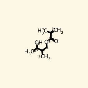 C=C(C)C(=O)OCC(C)C(C)O